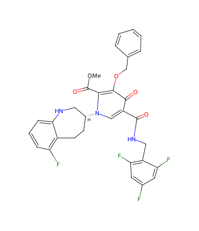 COC(=O)c1c(OCc2ccccc2)c(=O)c(C(=O)NCc2c(F)cc(F)cc2F)cn1[C@@H]1CCc2c(F)cccc2NC1